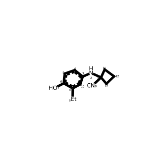 [C-]#[N+]C1(Nc2ccc(O)c(CC)c2)CCC1